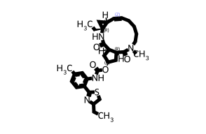 CCC1CSC(c2ccc(C)cc2NC(=O)O[C@@H]2C[C@H]3C(=O)N[C@]4(CC)C[C@H]4/C=C\CCCCN(C)C(=O)[C@@H]3C2)=N1